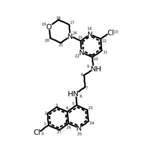 Clc1ccc2c(NCCNc3cc(Cl)nc(N4CCOCC4)n3)ccnc2c1